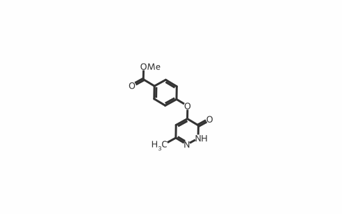 COC(=O)c1ccc(Oc2cc(C)n[nH]c2=O)cc1